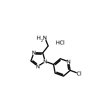 Cl.NCc1ncnn1-c1ccc(Cl)nc1